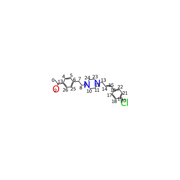 CC(=O)c1ccc(CCN2CCN(CC=Cc3ccc(Cl)cc3)CC2)cc1